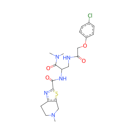 CN1CCc2nc(C(=O)NC(CNC(=O)COc3ccc(Cl)cc3)C(=O)N(C)C)sc2C1